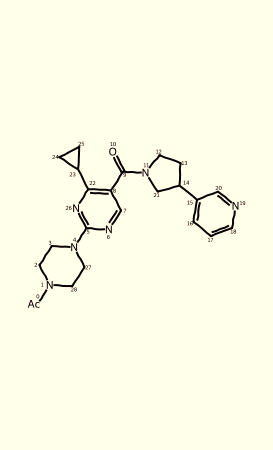 CC(=O)N1CCN(c2ncc(C(=O)N3CCC(c4cccnc4)C3)c(C3CC3)n2)CC1